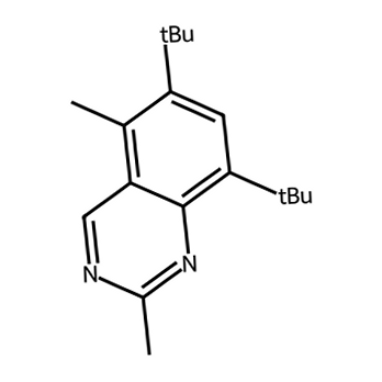 Cc1ncc2c(C)c(C(C)(C)C)cc(C(C)(C)C)c2n1